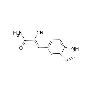 N#C/C(=C\c1ccc2[nH]ccc2c1)C(N)=O